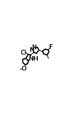 COc1ccc2c(Cl)c(-c3cc(-c4cc(C)cc(F)c4)cnn3)[nH]c2c1